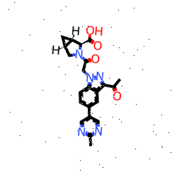 CC(=O)c1nn(CC(=O)N2C[C@H]3C[C@H]3[C@H]2C(=O)O)c2ccc(-c3cnc(C)nc3)cc12